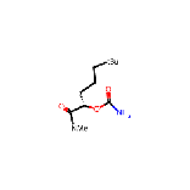 CNC(=O)[C@H](CCCC(C)(C)C)OC(N)=O